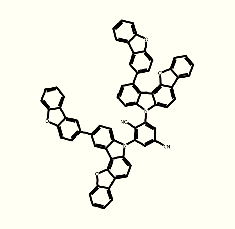 N#Cc1cc(-n2c3ccc(-c4ccc5oc6ccccc6c5c4)cc3c3c4oc5ccccc5c4ccc32)c(C#N)c(-n2c3cccc(-c4ccc5oc6ccccc6c5c4)c3c3c4oc5ccccc5c4ccc32)c1